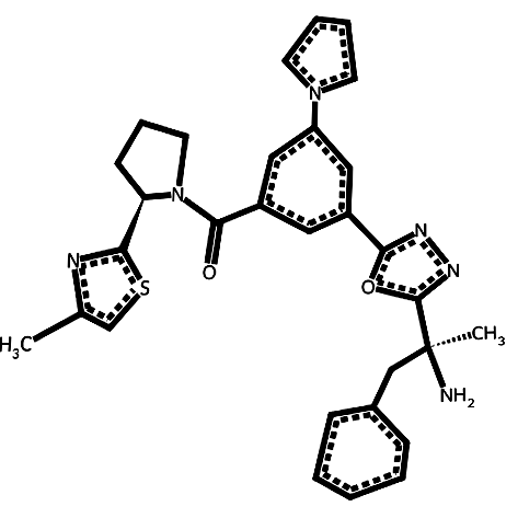 Cc1csc([C@H]2CCCN2C(=O)c2cc(-c3nnc([C@@](C)(N)Cc4ccccc4)o3)cc(-n3cccc3)c2)n1